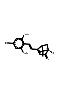 COc1cc(O)cc(OC)c1C=CC1=CC(=O)[C@H]2CC1C2(C)C